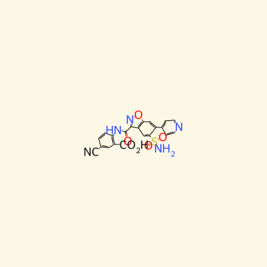 N#Cc1ccc(NC(=O)c2noc3cc(-c4ccncc4)c(S(N)(=O)=O)cc23)c(C(=O)O)c1